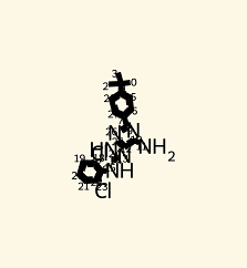 CC(C)(C)c1ccc(-c2nc(N)c3nc(Nc4c(Cl)cccc4Cl)[nH]c3n2)cc1